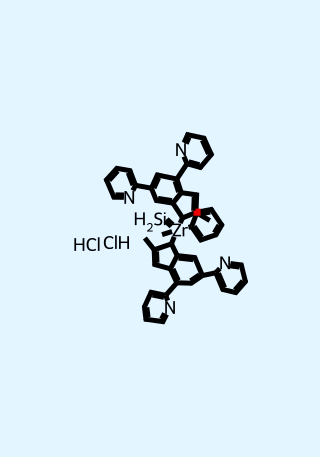 CC1=Cc2c(-c3ccccn3)cc(-c3ccccn3)cc2[CH]1[Zr]([CH3])(=[SiH2])([c]1ccccc1)[CH]1C(C)=Cc2c(-c3ccccn3)cc(-c3ccccn3)cc21.Cl.Cl